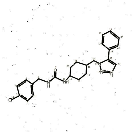 O=C(NCc1ccc(Cl)cc1)NC1CCC(Cn2nncc2-c2ccccc2)CC1